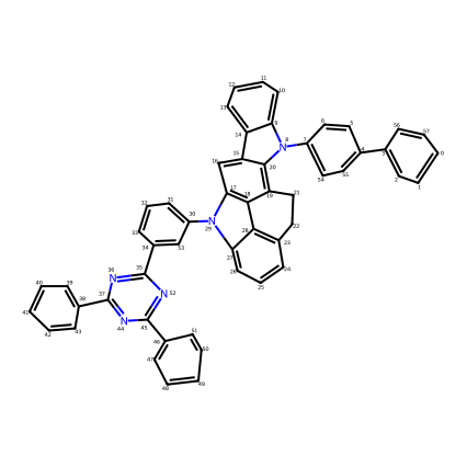 c1ccc(-c2ccc(-n3c4ccccc4c4cc5c6c(c43)CCc3cccc(c36)n5-c3cccc(-c4nc(-c5ccccc5)nc(-c5ccccc5)n4)c3)cc2)cc1